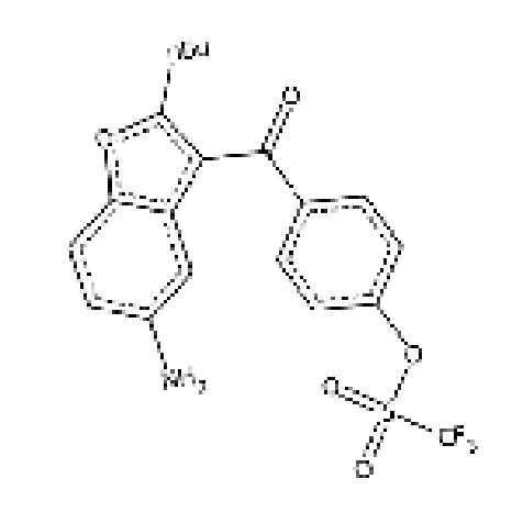 CCCCc1oc2ccc(N)cc2c1C(=O)c1ccc(OS(=O)(=O)C(F)(F)F)cc1